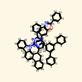 c1ccc(-c2cc(-c3ccccc3)cc(-c3nc(-c4ccccc4)nc(-n4c5ccccc5c5ccc6c(c54)C(c4ccc(-c5ccc7nc(-c8ccccc8)oc7c5)cn4)Cc4ccccc4-6)n3)c2)cc1